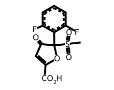 CS(=O)(=O)C1(c2c(F)cccc2F)OC(C(=O)O)=CC1=O